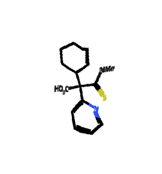 CNC(=S)C(C(=O)O)(c1ccccn1)C1CCCCC1